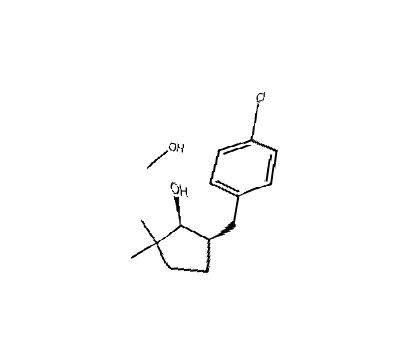 CC1(C)CC[C@H](Cc2ccc(Cl)cc2)[C@@H]1O.CO